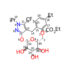 CCOC(=O)OC[C@H]1O[C@@H](Oc2nn(C(C)C)c(C(F)(F)F)c2Cc2ccc(CC)cc2)[C@H](O)[C@@H](O)[C@@H]1O